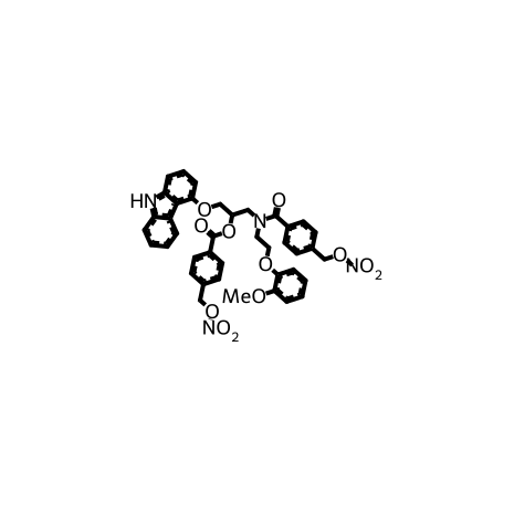 COc1ccccc1OCCN(CC(COc1cccc2[nH]c3ccccc3c12)OC(=O)c1ccc(CO[N+](=O)[O-])cc1)C(=O)c1ccc(CO[N+](=O)[O-])cc1